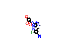 CCc1cc(C#N)cc(F)c1N(C)c1cc2c(ncn2C)c(NC(=O)c2ccc(OC)cc2OC)n1